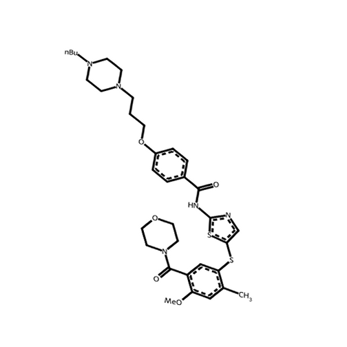 CCCCN1CCN(CCCOc2ccc(C(=O)Nc3ncc(Sc4cc(C(=O)N5CCOCC5)c(OC)cc4C)s3)cc2)CC1